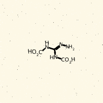 NN=C(NC(=O)O)NC(=O)O